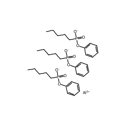 CCCCCP(=O)([O-])Oc1ccccc1.CCCCCP(=O)([O-])Oc1ccccc1.CCCCCP(=O)([O-])Oc1ccccc1.[Al+3]